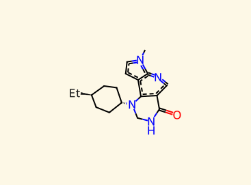 CC[C@H]1CC[C@H](N2CNC(=O)c3cnc4c(ccn4C)c32)CC1